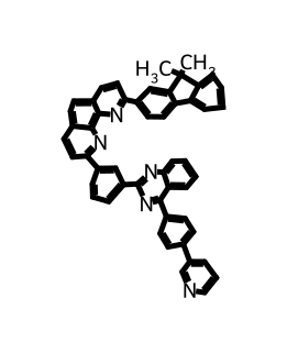 CC1(C)c2ccccc2-c2ccc(-c3ccc4ccc5ccc(-c6cccc(-c7nc(-c8ccc(-c9cccnc9)cc8)c8ccccc8n7)c6)nc5c4n3)cc21